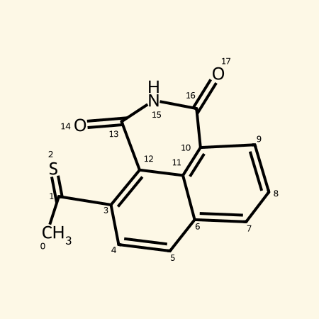 CC(=S)c1ccc2cccc3c2c1C(=O)NC3=O